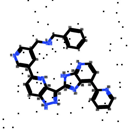 c1ccc(CNCc2cncc(-c3ccc4[nH]nc(-c5nc6c(-c7ccccn7)ccnc6[nH]5)c4n3)c2)cc1